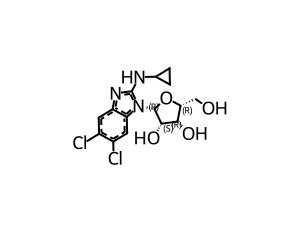 OC[C@H]1O[C@@H](n2c(NC3CC3)nc3cc(Cl)c(Cl)cc32)[C@@H](O)[C@H]1O